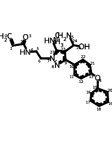 C=CC(=O)NCCn1nc(-c2ccc(Oc3ccccc3)cc2)c(C(N)O)c1NC